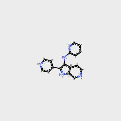 c1ccc(Nc2c(-c3ccncc3)[nH]c3cnccc23)nc1